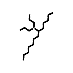 CCCCCCCC(CCCCC)N(CCC)CCC